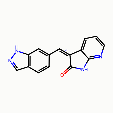 O=C1Nc2ncccc2/C1=C/c1ccc2cn[nH]c2c1